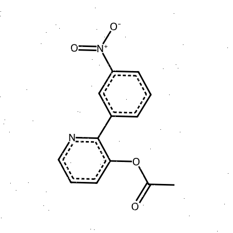 CC(=O)Oc1cccnc1-c1cccc([N+](=O)[O-])c1